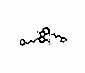 CCOc1ccc(OCCCC2CCNC2)c2c1-c1c(OCCCC3CCNC3)cccc1C2=O